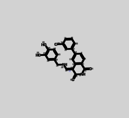 O=C1NC(=O)c2ccc(-c3cccc(Cl)c3)cc2/C1=C\NCc1ccc(O)c(O)c1